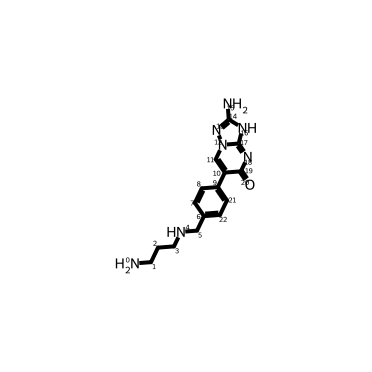 NCCCNCc1ccc(-c2cn3nc(N)[nH]c3nc2=O)cc1